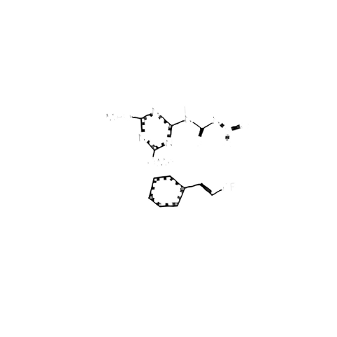 COc1nc(NC(=O)N=S(=O)=O)nc(OC)n1.FC(F)(F)C=Cc1ccccc1